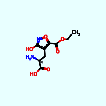 CCOC(=O)c1onc(O)c1C[C@H](N)C(=O)O